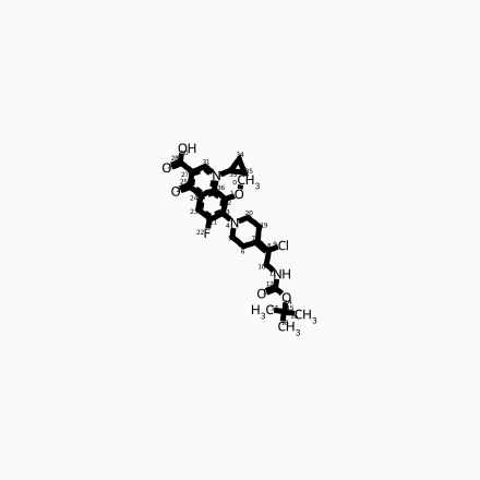 COc1c(N2CCC(=C(Cl)CNC(=O)OC(C)(C)C)CC2)c(F)cc2c(=O)c(C(=O)O)cn(C3CC3)c12